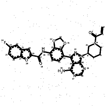 C=CC(=O)N1CCC[C@@H](n2nc(-c3ccc(NC(=O)c4cc5cc(F)ccc5o4)c4c3OCO4)c3c(N)ncnc32)C1